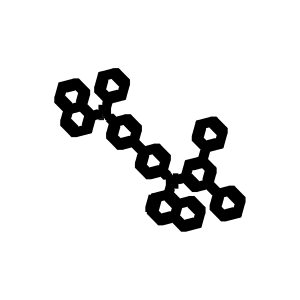 c1cc2ccccc2c(N(c2ccc(-c3ccc(N(c4ccccc4)c4cccc5ccccc45)cc3)cc2)c2cc(-c3ccccc3)cc(-c3ccccc3)c2)c#1